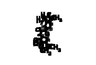 COc1ccc(/C=C(/Cl)C(=O)c2ccc(N(C)C)c(N)c2)c(OC)c1OC